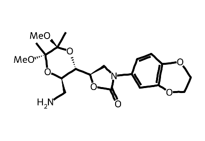 CO[C@@]1(C)O[C@H]([C@H]2CN(c3ccc4c(c3)OCCO4)C(=O)O2)[C@@H](CN)O[C@]1(C)OC